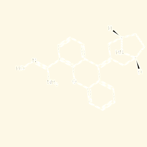 N/C(=N\O)c1cccc2c1Oc1ccccc1/C2=C1\C[C@H]2CC[C@@H](C1)N2